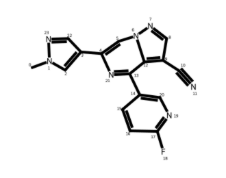 Cn1cc(-c2cn3ncc(C#N)c3c(-c3ccc(F)nc3)n2)cn1